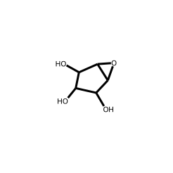 OC1C(O)C2OC2C1O